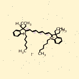 CCCCCCN1\C(=C/C=C/C=C/C=C/C2=[N+](CCCCCC)c3ccccc3C2(CC)CC)C(CC)(CC)c2ccccc21.[I-]